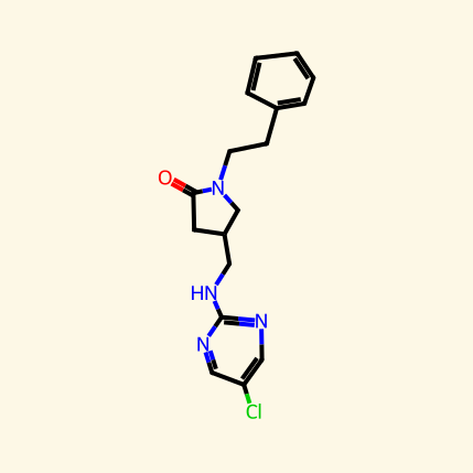 O=C1CC(CNc2ncc(Cl)cn2)CN1CCc1ccccc1